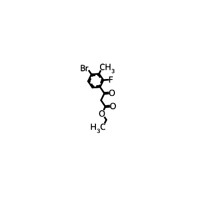 CCOC(=O)CC(=O)c1ccc(Br)c(C)c1F